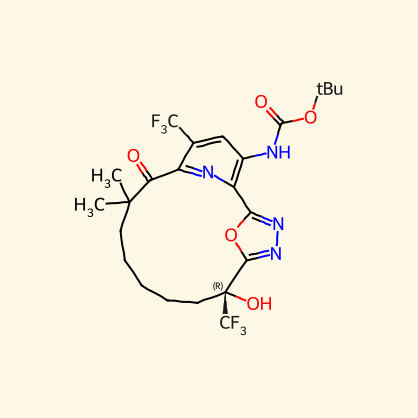 CC(C)(C)OC(=O)Nc1cc(C(F)(F)F)c2nc1-c1nnc(o1)[C@@](O)(C(F)(F)F)CCCCCC(C)(C)C2=O